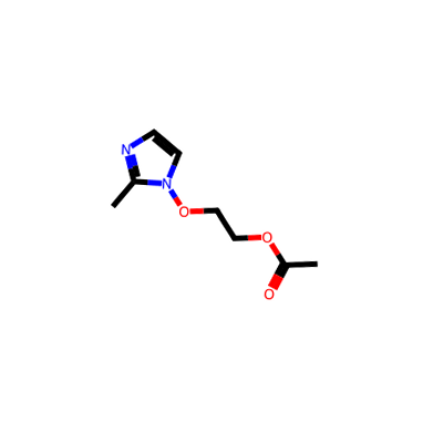 CC(=O)OCCOn1ccnc1C